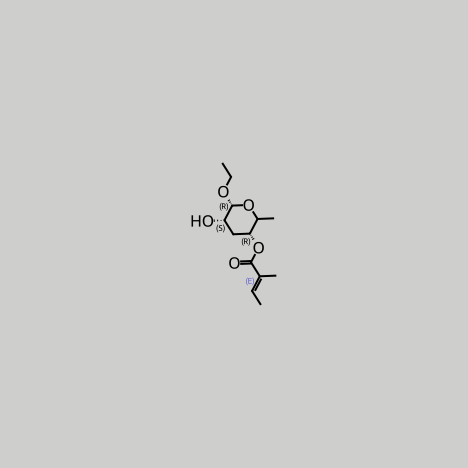 C/C=C(\C)C(=O)O[C@@H]1C[C@H](O)[C@H](OCC)OC1C